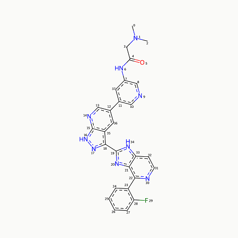 CN(C)CC(=O)Nc1cncc(-c2cnc3[nH]nc(-c4nc5c(-c6ccccc6F)nccc5[nH]4)c3c2)c1